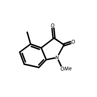 CON1C(=O)C(=O)c2c(C)cccc21